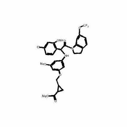 COC(=O)C1CC1COc1cc(NC(C(=O)N2CCc3ccc(OC(F)(F)F)cc32)c2ccc(Cl)cc2OC)cc(OC)c1